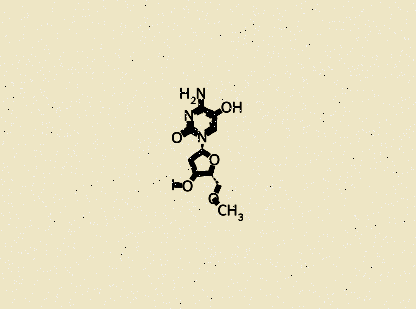 COC[C@H]1O[C@@H](n2cc(O)c(N)nc2=O)CC1OI